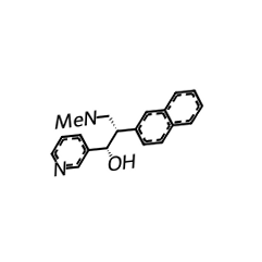 CNC[C@H](c1ccc2ccccc2c1)[C@H](O)c1cccnc1